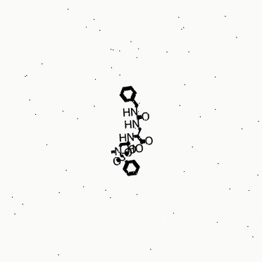 CN(CC(=O)N[C@@H](CNC(=O)NCc1ccccc1)C(=O)O)S(=O)(=O)c1ccccc1